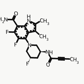 CC#CC(=O)N[C@H]1C[C@H](F)CN(c2c(F)c(F)c(C(N)=O)c3[nH]c(C)c(C)c23)C1